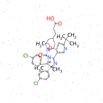 CCOc1cc(C(C)(C)C)ncc1C1=N[C@@](C)(c2ccc(Cl)cc2)[C@@](C)(c2ccc(Cl)cc2)N1C(=O)N1CCC(CCC(=O)O)CC1